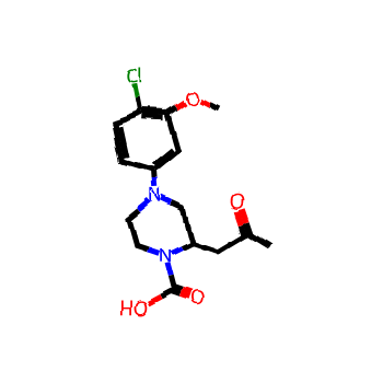 COc1cc(N2CCN(C(=O)O)C(CC(C)=O)C2)ccc1Cl